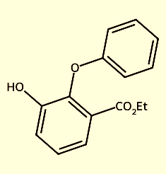 CCOC(=O)c1cccc(O)c1Oc1ccccc1